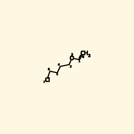 C=COCCCCCl